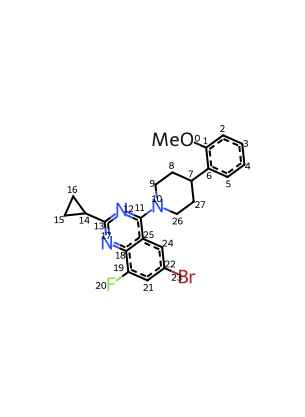 COc1ccccc1C1CCN(c2nc(C3CC3)nc3c(F)cc(Br)cc23)CC1